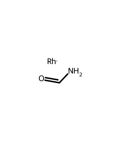 NC=O.[Rh]